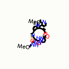 CCn1c(-c2cccnc2[C@H](C)OC)c2c3cc(ccc31)-c1csc(n1)C[C@H](NC(=O)NCCOC)C(=O)N1CCC[C@H](N1)C(=O)OCC(C)(C)C2